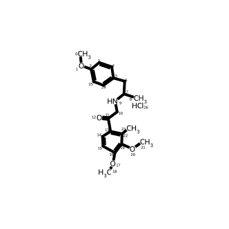 COc1ccc(CC(C)NCC(=O)c2ccc(OC)c(OC)c2C)cc1.Cl